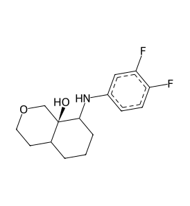 O[C@]12COCCC1CCCC2Nc1ccc(F)c(F)c1